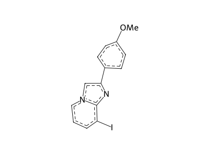 COc1ccc(-c2cn3cccc(I)c3n2)cc1